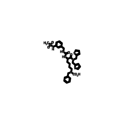 CS(=O)(=O)Nc1cccc(CNC(=O)NC(CCCCN(Cc2ccccc2)C(=O)O)C(=O)N(Cc2cccs2)Cc2cccs2)c1